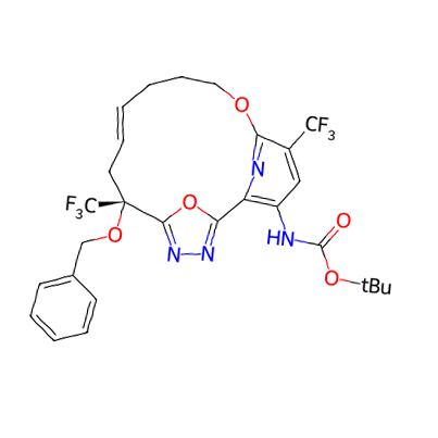 CC(C)(C)OC(=O)Nc1cc(C(F)(F)F)c2nc1-c1nnc(o1)[C@@](OCc1ccccc1)(C(F)(F)F)C/C=C/CCCO2